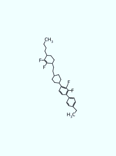 CCCCC1CCC(CCC2CCC(c3ccc(-c4ccc(CC)cc4)c(F)c3F)CC2)C(F)=C1F